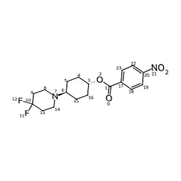 O=C(O[C@H]1CC[C@H](N2CCC(F)(F)CC2)CC1)c1ccc([N+](=O)[O-])cc1